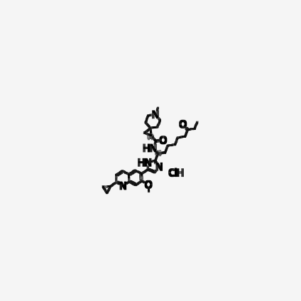 CCC(=O)CCCCC[C@H](NC(=O)[C@H]1CC12CCN(C)CC2)c1ncc(-c2cc3ccc(C4CC4)nc3cc2OC)[nH]1.Cl